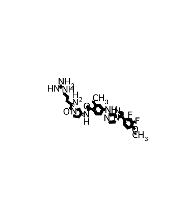 CCc1cc(Nc2nccn3c(-c4ccc(OC)c(F)c4F)cnc23)ccc1C(=O)N[C@@H]1CCN(C(=O)[C@@H](N)CCCNC(=N)N)C1